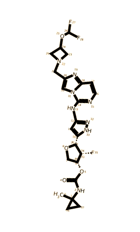 CC1(NC(=O)O[C@@H]2CO[C@H](c3cc(Nc4nccc5nc(CN6CC(OC(F)F)C6)cn45)n[nH]3)[C@@H]2F)CC1